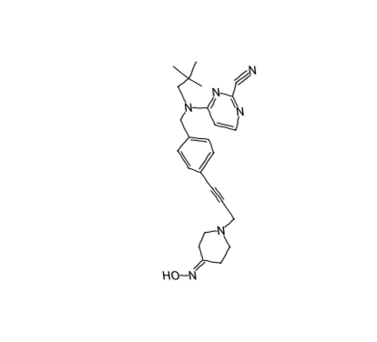 CC(C)(C)CN(Cc1ccc(C#CCN2CCC(=NO)CC2)cc1)c1ccnc(C#N)n1